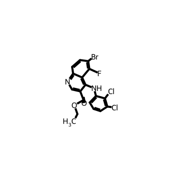 CCOC(=O)c1cnc2ccc(Br)c(F)c2c1Nc1cccc(Cl)c1Cl